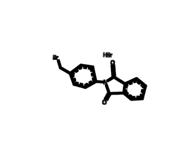 Br.O=C1c2ccccc2C(=O)N1c1ccc(CBr)cc1